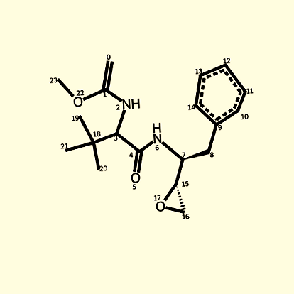 C=C(NC(C(=O)N[C@@H](Cc1ccccc1)[C@@H]1CO1)C(C)(C)C)OC